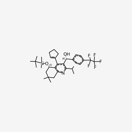 CC(C)c1nc2c(c(C3=CCCC3)c1[C@H](O)c1ccc(C(F)(F)C(F)(F)F)cc1)[C@@H](O[Si](C)(C)C(C)(C)C)CC(C)(C)C2